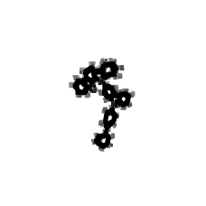 c1ccc(-c2ccc(-n3c4ccccc4c4cc(-n5c6ccccc6c6ccc7c8ccccc8oc7c65)ccc43)cc2)cc1